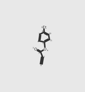 C#CC(=O)Oc1ccc(CC)cc1